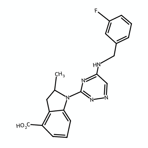 CC1Cc2c(C(=O)O)cccc2N1c1nncc(NCc2cccc(F)c2)n1